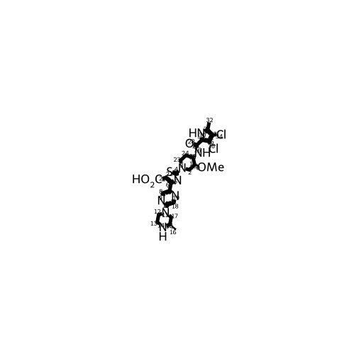 CO[C@H]1CN(c2nc(-c3cnc(N4CCN[C@H](C)C4)cn3)c(C(=O)O)s2)CC[C@H]1NC(=O)c1[nH]c(C)c(Cl)c1Cl